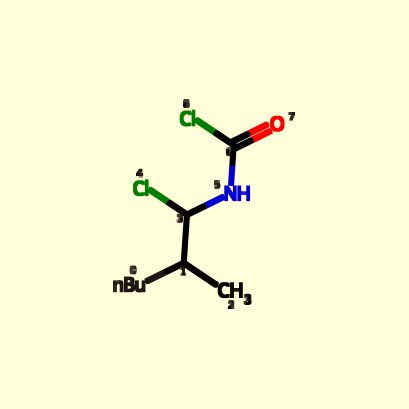 CCCCC(C)C(Cl)NC(=O)Cl